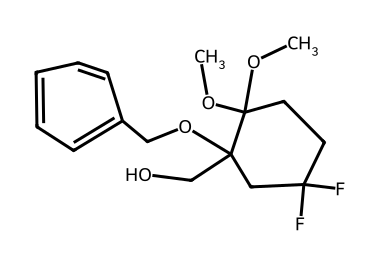 COC1(OC)CCC(F)(F)CC1(CO)OCc1ccccc1